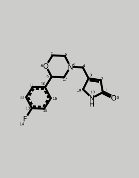 O=C1C=C(CN2CCOC(c3ccc(F)cc3)C2)CN1